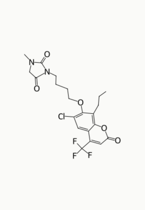 CCCc1c(OCCCCN2C(=O)CN(C)C2=O)c(Cl)cc2c(C(F)(F)F)cc(=O)oc12